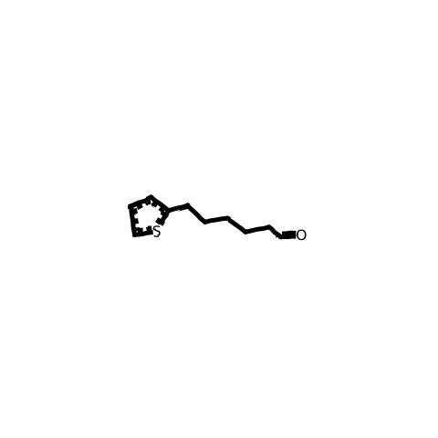 O=[C]CCCCCc1cccs1